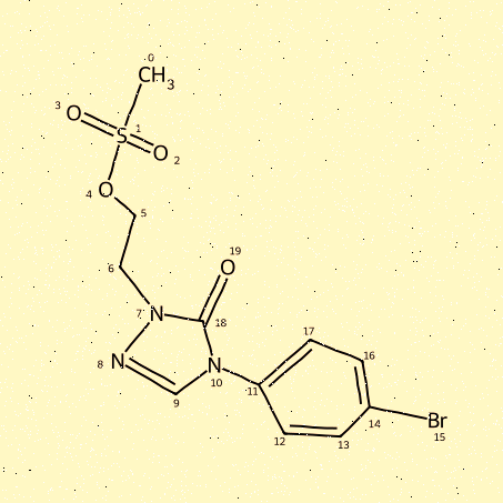 CS(=O)(=O)OCCn1ncn(-c2ccc(Br)cc2)c1=O